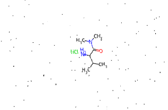 CC(C)[C@@H](N)C(=O)N(C)C.Cl